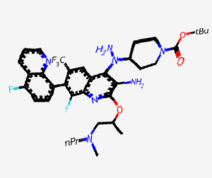 CCCN(C)CC(C)Oc1nc2c(F)c(-c3ccc(F)c4cccnc34)c(C(F)(F)F)cc2c(N(N)C2CCN(C(=O)OC(C)(C)C)CC2)c1N